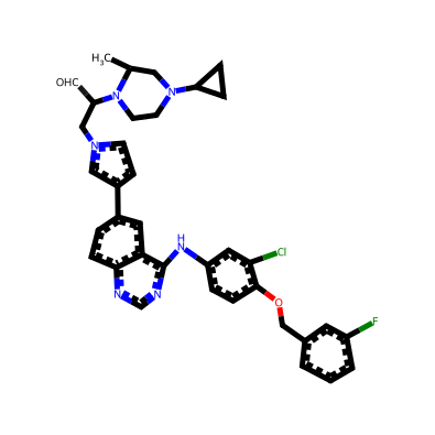 CC1CN(C2CC2)CCN1C(C=O)Cn1ccc(-c2ccc3ncnc(Nc4ccc(OCc5cccc(F)c5)c(Cl)c4)c3c2)c1